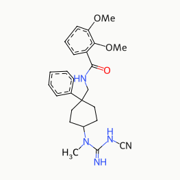 COc1cccc(C(=O)NCC2(c3ccccc3)CCC(N(C)C(=N)NC#N)CC2)c1OC